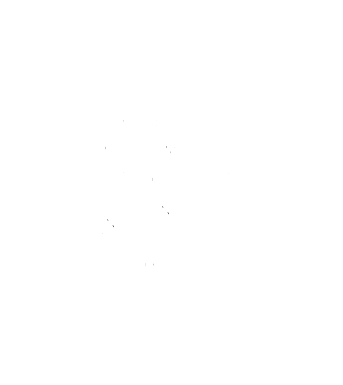 NC(=O)N1c2ccccc2C=C[13c]2[13cH][13cH][13cH][13cH][13c]21